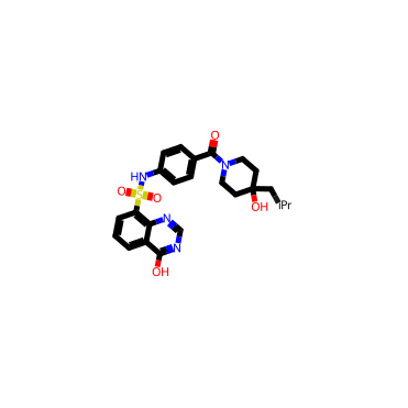 CC(C)CC1(O)CCN(C(=O)c2ccc(NS(=O)(=O)c3cccc4c(O)ncnc34)cc2)CC1